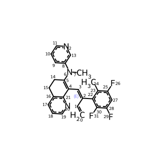 C=C/C(=C\C1=C(N(C)c2cccnc2)CCc2cccnc21)c1c(C)c(F)cc(F)c1F